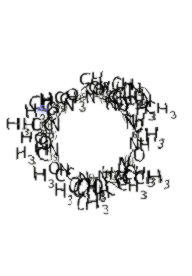 C/C=C/C[C@@H](C)[C@@H](O)[C@H]1C(=O)N[C@@H](CC)C(=O)N(C)CC(=O)N(C)[C@@H](CC(C)C)C(=O)N[C@@H](C(C)C)C(=O)N(C)[C@@H](CC(C)C)C(=O)N[C@@H](C)C(=O)N[C@H](C)C(=O)N(C)[C@@H](CC(C)C)C(=O)N(C)[C@@H](CC(C)C)C(=O)N(C)[C@@H](C(C)C)C(=O)N1C.CN1CCNCC1